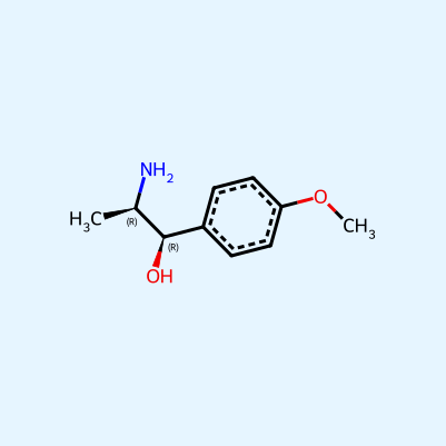 COc1ccc([C@@H](O)[C@@H](C)N)cc1